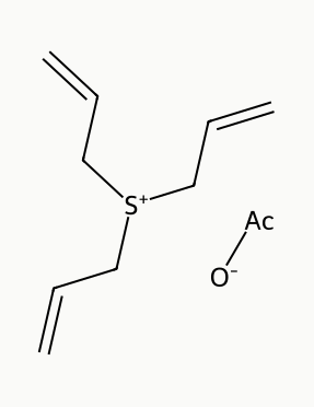 C=CC[S+](CC=C)CC=C.CC(=O)[O-]